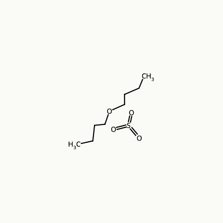 CCCCOCCCC.O=S(=O)=O